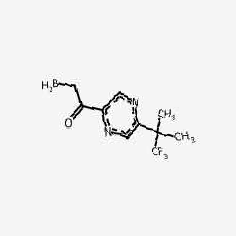 BCC(=O)c1cnc(C(C)(C)C(F)(F)F)cn1